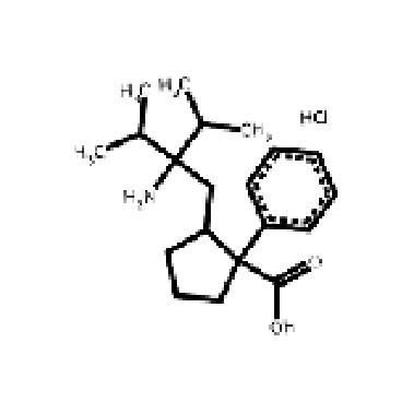 CC(C)C(N)(CC1CCCC1(C(=O)O)c1ccccc1)C(C)C.Cl